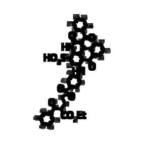 CCOC(=O)C(CCS(=O)(=O)c1ccc(Nc2cc(S(=O)(=O)O)c3[nH]c(=O)c(C(=O)c4ccccc4)c4c3c2C(=O)c2ccccc2-4)cc1)C(=O)c1ccccc1